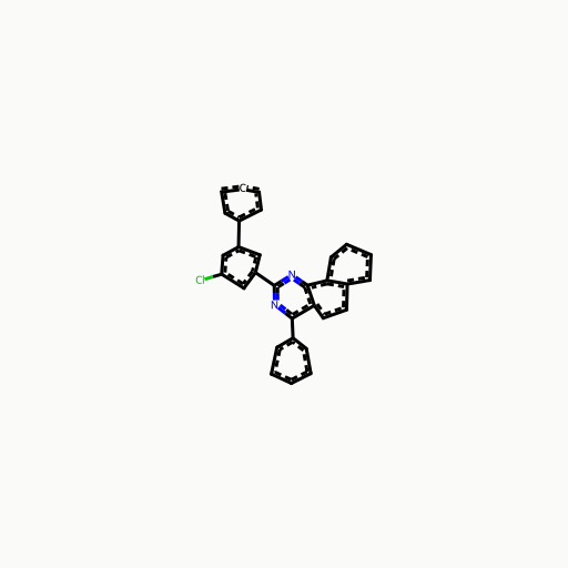 Clc1cc(-c2ccccc2)cc(-c2nc(-c3ccccc3)c3ccc4ccccc4c3n2)c1